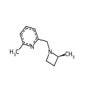 Cc1cccc(CN2CC[C@@H]2C)n1